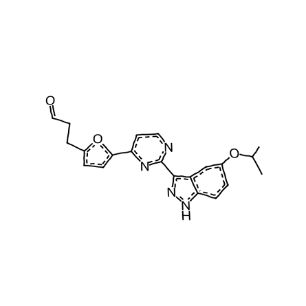 CC(C)Oc1ccc2[nH]nc(-c3nccc(-c4ccc(CCC=O)o4)n3)c2c1